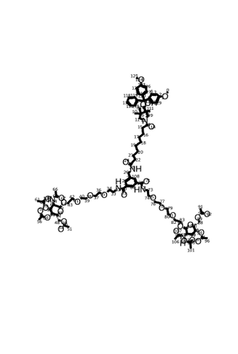 COc1ccc(C(OCC2(C)CN(C(=O)CCCCCCCCC(=O)NCc3cc(C(=O)NCCOCCOCCOCCOC4O[C@H](COC(C)=O)[C@H](OC(C)=O)[C@H](OC(C)=O)C4NC(C)=O)cc(C(=O)NCCOCCOCCOCCOC4O[C@H](COC(C)=O)[C@H](OC(C)=O)[C@H](OC(C)=O)C4NC(C)=O)c3)CC2(C)CO)(c2ccccc2)c2ccc(OC)cc2)cc1